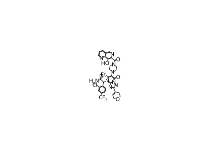 CCc1c(N2CCN(C(=O)c3ncc4cccnc4c3O)CC2)c(=O)n2nc(C3=CCOCC3)nc2n1C(C(N)=O)c1ccc(C(F)(F)F)cc1Cl